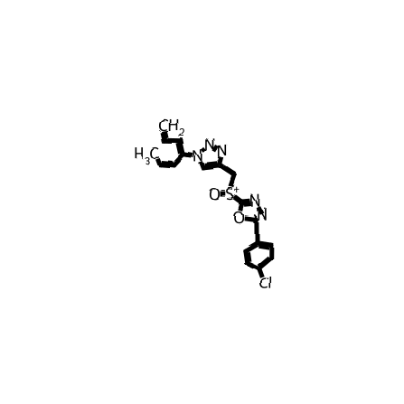 C=C/C=C(\C=C/C)n1cc(C[S+]([O-])c2nnc(-c3ccc(Cl)cc3)o2)nn1